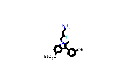 CCOC(=O)c1ccc2c(c1)c(-c1cccc(C(C)(C)C)c1)c(C)n2C/C(F)=C/CN